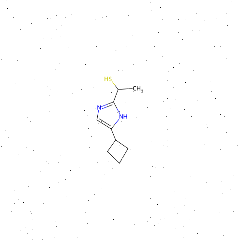 CC(S)c1ncc(C2CCC2)[nH]1